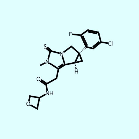 Cn1c(CC(=O)NC2COC2)c2n(c1=S)C[C@@]1(c3cc(Cl)ccc3F)C[C@@H]21